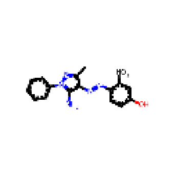 Cc1nn(-c2ccccc2)c(N)c1/N=N/c1ccc(O)cc1[N+](=O)[O-]